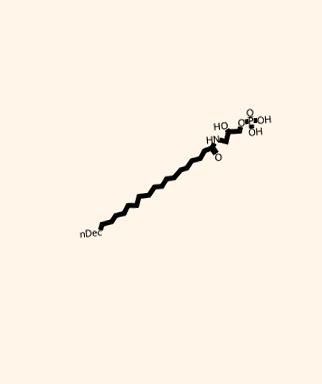 CCCCCCCCCCCCCCCCCCCCCCCCCCCC(=O)NCC(O)COP(=O)(O)O